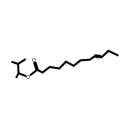 CC/C=C/CCCCCCCC(=O)OC(C)C(C)C